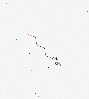 C.CCCCCI